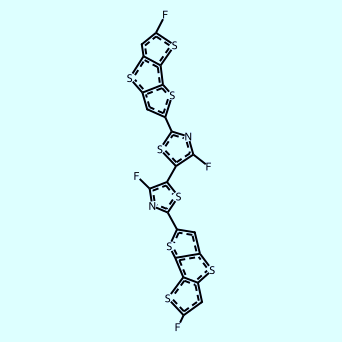 Fc1cc2sc3cc(-c4nc(F)c(-c5sc(-c6cc7sc8cc(F)sc8c7s6)nc5F)s4)sc3c2s1